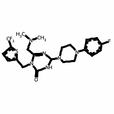 CN(C)CC1=NC(N2CCN(c3ccc(F)cc3)CC2)NC(=O)N1Cc1ccc(C(F)(F)F)s1